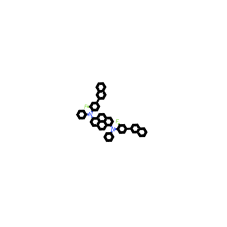 Fc1cc(-c2ccc3ccccc3c2)ccc1N(c1ccccc1)c1ccc2ccc3c(N(c4ccccc4)c4ccc(-c5ccc6ccccc6c5)cc4F)ccc4ccc1c2c43